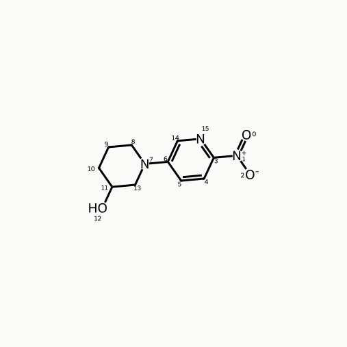 O=[N+]([O-])c1ccc(N2CCCC(O)C2)cn1